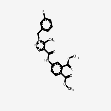 COC(=O)c1ccc(NC(=O)c2nnn(Cc3cccc(F)c3)c2C)cc1C(=O)OC